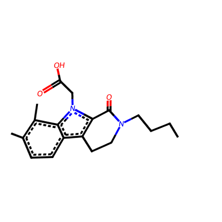 CCCCN1CCc2c(n(CC(=O)O)c3c(C)c(C)ccc23)C1=O